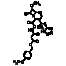 COc1ccc(COC(=O)CC(=O)NOC(=O)C2=C(C(C)Sc3nnn[nH]3)COC3[C@@H](OC)C(=O)N23)cc1